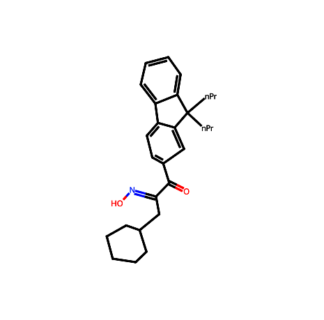 CCCC1(CCC)c2ccccc2-c2ccc(C(=O)C(CC3CCCCC3)=NO)cc21